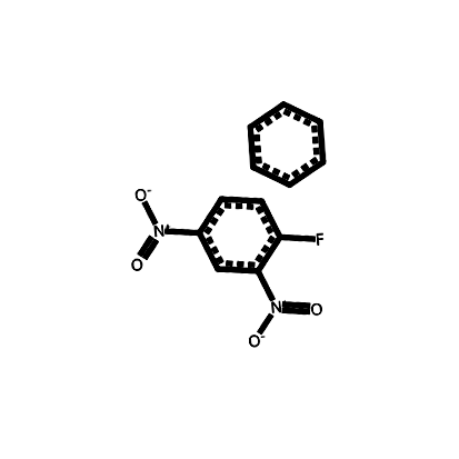 O=[N+]([O-])c1ccc(F)c([N+](=O)[O-])c1.c1ccccc1